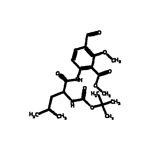 COC(=O)c1c(NC(=O)C(CC(C)C)NC(=O)OC(C)(C)C)ccc(C=O)c1OC